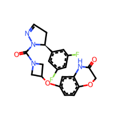 O=C1COc2ccc(OC3CN(C(=O)N4N=CC[C@H]4c4cc(F)cc(F)c4)C3)cc2N1